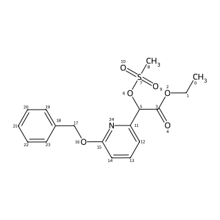 CCOC(=O)C(OS(C)(=O)=O)c1cccc(OCc2ccccc2)n1